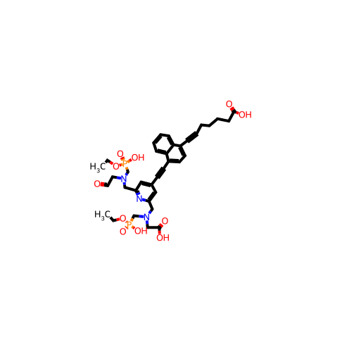 CCOP(=O)(O)CN(CC=O)Cc1cc(C#Cc2ccc(C#CCCCCC(=O)O)c3ccccc23)cc(CN(CC(=O)O)CP(=O)(O)OCC)n1